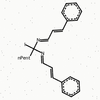 CCCCCC(I)(N=CC=Cc1ccccc1)N=CC=Cc1ccccc1